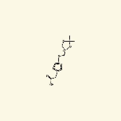 CC1(C)OC[C@H](CSc2ccc(CC(=O)O)cc2)O1